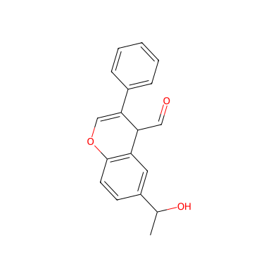 CC(O)c1ccc2c(c1)C(C=O)C(c1ccccc1)=CO2